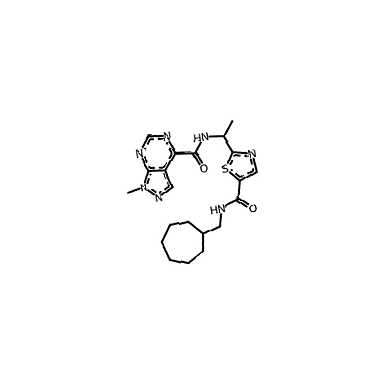 CC(NC(=O)c1ncnc2c1cnn2C)c1ncc(C(=O)NCC2CCCCCC2)s1